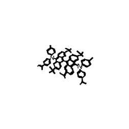 Cc1ccc(N(c2ccc(C(C)C)cc2)c2c3ccc(C(C)C)cc3c(-c3c4cc(C(C)(C)C)ccc4c(N(c4ccc(C)cc4)c4ccc(C(C)C)cc4)c4cc(C(C)(C)C)ccc34)c3ccc(C(C)(C)C)cc23)cc1